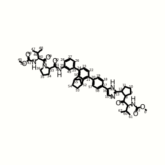 COC(=O)N[C@H](C(=O)C1CCCC1c1ncc(-c2ccc(-c3ccc(-c4cccc(NC(=O)C5CCCN5C(=O)[C@@H](NC(=O)OC)C(C)C)c4)c4c3C3CCC4C3)cc2)[nH]1)C(C)C